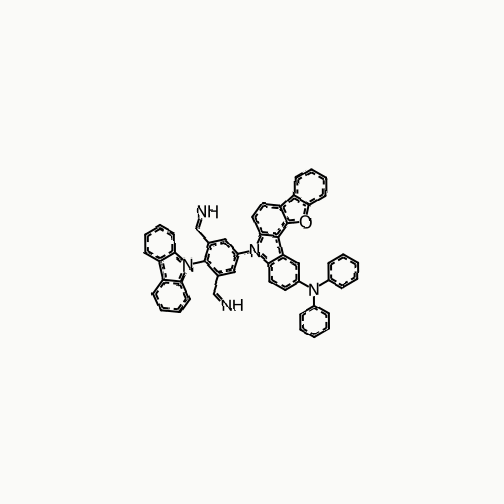 N=Cc1cc(-n2c3ccc(N(c4ccccc4)c4ccccc4)cc3c3c4oc5ccccc5c4ccc32)cc(C=N)c1-n1c2ccccc2c2ccccc21